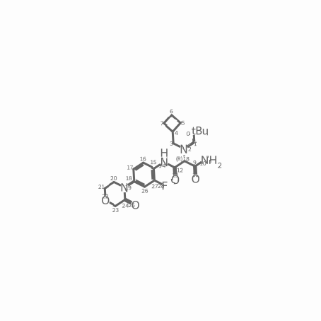 CC(C)(C)CN(CC1CCC1)[C@H](C(N)=O)C(=O)Nc1ccc(N2CCOCC2=O)cc1F